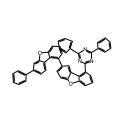 c1ccc(-c2ccc3c(c2)oc2cccc(-c4ccc5oc6cccc(-c7nc(-c8ccccc8)nc(-c8ccccc8)n7)c6c5c4)c23)cc1